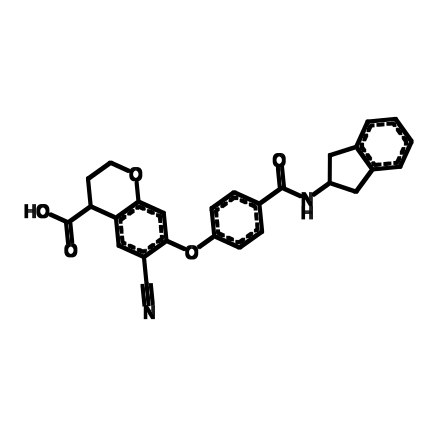 N#Cc1cc2c(cc1Oc1ccc(C(=O)NC3Cc4ccccc4C3)cc1)OCCC2C(=O)O